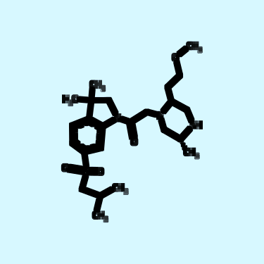 COCCC1CN[C@H](C)CN1CC(=O)N1CC(C)(C)c2ccc(S(=O)(=O)CC(C)C)cc21